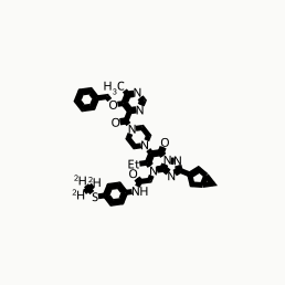 [2H]C([2H])([2H])Sc1ccc(NC(=O)Cn2c(CC)c(N3CCN(C(=O)c4ncnc(C)c4OCc4ccccc4)CC3)c(=O)n3nc(C4=CC5CC5C4)nc23)cc1